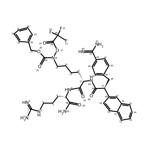 N=C(N)NCCC[C@H](NC(=O)[C@H](CCCCN(OC(=O)C(F)(F)F)C(=O)OCc1ccccc1)NC(=O)[C@@H](Cc1ccc(C(=N)N)cc1)c1ccc2ccccc2c1)C(N)=O